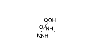 NC(CCC(=O)O)C(=O)CCc1ncc[nH]1